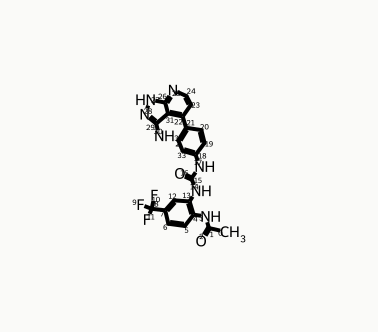 CC(=O)Nc1ccc(C(F)(F)F)cc1NC(=O)Nc1ccc(-c2ccnc3[nH]nc(N)c23)cc1